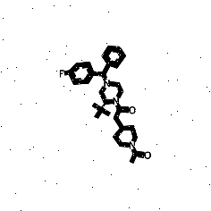 CC(=O)N1CCC(CC(=O)N2CCN(C(c3ccccc3)c3ccc(F)cc3)C[C@@H]2C(C)(C)C)CC1